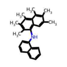 Cc1cc2c(Nc3cccc4ccccc34)c(C)c(C)c(C)c2c(C)c1C